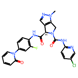 Cn1ncc2c1CN(C(=O)Nc1ccc(Cl)cn1)[C@H]2C(=O)Nc1ccc(-n2ccccc2=O)cc1F